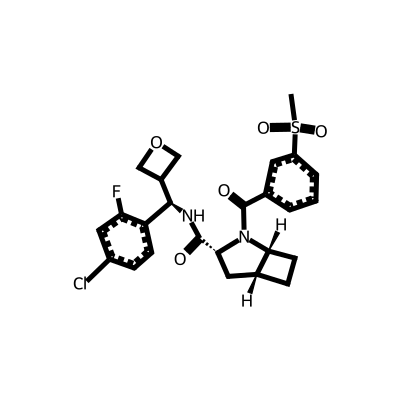 CS(=O)(=O)c1cccc(C(=O)N2[C@@H](C(=O)N[C@@H](c3ccc(Cl)cc3F)C3COC3)C[C@H]3CC[C@H]32)c1